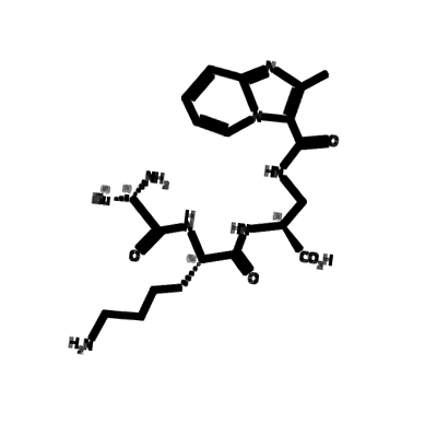 CC[C@@H](C)[C@H](N)C(=O)N[C@@H](CCCCN)C(=O)N[C@@H](CNC(=O)c1c(C)nc2ccccn12)C(=O)O